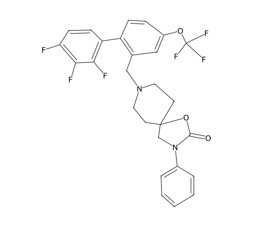 O=C1OC2(CCN(Cc3cc(OC(F)(F)F)ccc3-c3ccc(F)c(F)c3F)CC2)CN1c1ccccc1